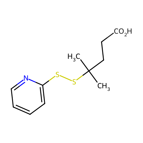 CC(C)(CCC(=O)O)SSc1ccccn1